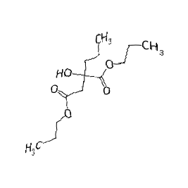 CCCOC(=O)CC(O)(CCC)C(=O)OCCC